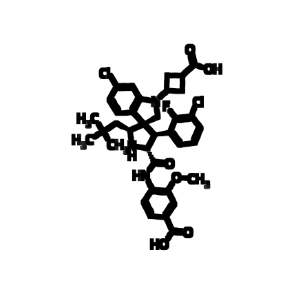 COc1cc(C(=O)O)ccc1NC(=O)[C@@H]1N[C@@H](CC(C)(C)C)[C@@]2(CN(C3CC(C(=O)O)C3)c3cc(Cl)ccc32)[C@H]1c1cccc(Cl)c1F